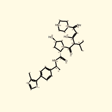 Cc1ncsc1-c1ccc([C@H](C)NC(=O)[C@@H]2C[C@@H](O)CN2C(=O)C(/C(O)=C/C(=N)N2CCNCC2)C(C)C)cc1